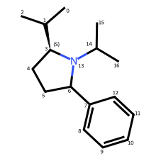 CC(C)[C@@H]1CCC(c2ccccc2)N1C(C)C